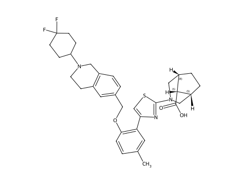 Cc1ccc(OCc2ccc3c(c2)CCN(C2CCC(F)(F)CC2)C3)c(-c2csc(N3C[C@H]4CC[C@@H](C3)[C@H]4C(=O)O)n2)c1